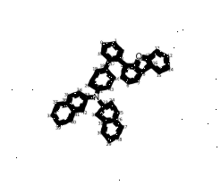 c1ccc(-c2cccc3c2oc2ccccc23)c(-c2ccc(N(c3ccc4ccccc4c3)c3ccc4ccccc4c3)cc2)c1